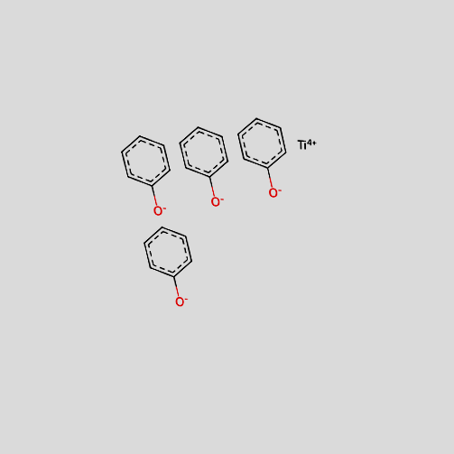 [O-]c1ccccc1.[O-]c1ccccc1.[O-]c1ccccc1.[O-]c1ccccc1.[Ti+4]